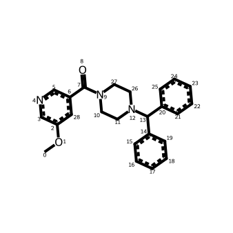 COc1cncc(C(=O)N2CCN(C(c3ccccc3)c3ccccc3)CC2)c1